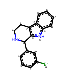 Brc1cccc(C2NCCc3c2[nH]c2ccccc32)c1